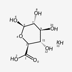 O=C(O)[C@H]1O[C@@H](O)[C@H](O)[C@@H](O)[C@@H]1O.[KH]